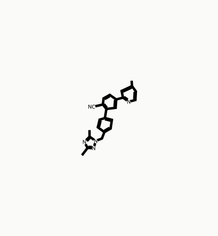 Cc1ccnc(-c2ccc(C#N)c(-c3ccc(Cn4nc(C)nc4C)cc3)c2)c1